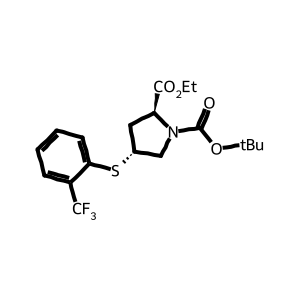 CCOC(=O)[C@@H]1C[C@@H](Sc2ccccc2C(F)(F)F)CN1C(=O)OC(C)(C)C